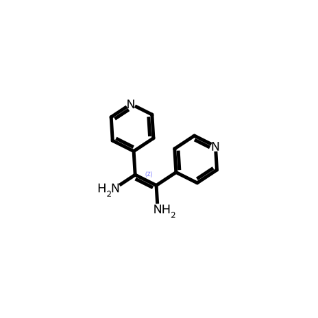 N/C(=C(\N)c1ccncc1)c1ccncc1